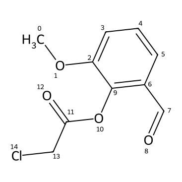 COc1cccc(C=O)c1OC(=O)CCl